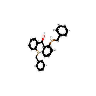 O=C(c1ccccc1SCc1ccccc1)c1ccccc1SCc1ccccc1